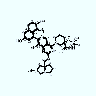 O=C1NS(=O)(=O)NC12CCCN(c1nc(OC[C@@]34CCCN3C[C@H](F)C4)nc3c(F)c(-c4cc(O)cc5ccc(F)c(Cl)c45)ncc13)C2